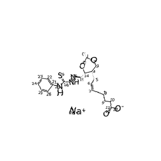 C[C@@H]1OC[C@H](C/C=C\CCCC(=O)[O-])[C@H](C=NNC(=S)Nc2ccccc2)O1.[Na+]